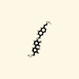 CCCC1CCC2CC(COc3ccc(-c4ccc(CC)c(F)c4F)c(F)c3F)CCC2C1